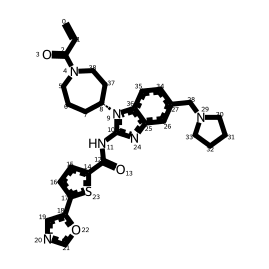 C=CC(=O)N1CCC[C@@H](n2c(NC(=O)c3ccc(-c4cnco4)s3)nc3cc(CN4CCCC4)ccc32)CC1